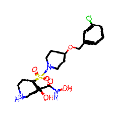 O=C(NO)C1(O)CNCCC1S(=O)(=O)N1CCC(OCc2cccc(Cl)c2)CC1